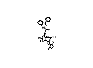 C[C@@H]1[C@@H](OC(=O)NCC(c2ccccc2)c2ccccc2)CN2C(=N)NC(CN3C(=O)CCC3=O)C3NC(=N)NC312